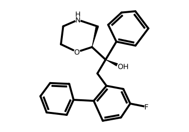 O[C@](Cc1cc(F)ccc1-c1ccccc1)(c1ccccc1)[C@@H]1CNCCO1